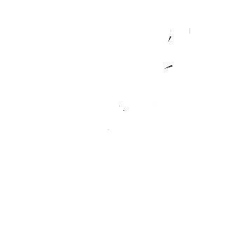 O=C(O)[C@H]1C[C@@H]([C@H]2CN(S(=O)(=O)c3cccc(C(F)(F)F)c3)c3cc(-c4cc(F)ccc4F)ccc3O2)C1